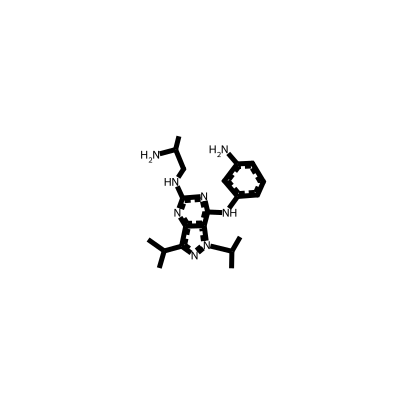 CC(N)CNc1nc(Nc2cccc(N)c2)c2c(n1)c(C(C)C)nn2C(C)C